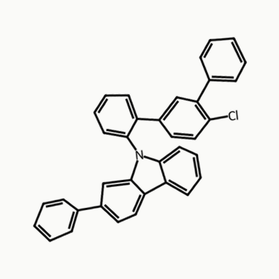 Clc1ccc(-c2ccccc2-n2c3ccccc3c3ccc(-c4ccccc4)cc32)cc1-c1ccccc1